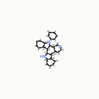 c1ccc(-n2c3ccccc3c3c4[nH]c5ccccc5c4c4ccncc4c32)cc1